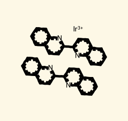 [Ir+3].c1ccc2nc(-c3ccc4ccccc4n3)ccc2c1.c1ccc2nc(-c3ccc4ccccc4n3)ccc2c1